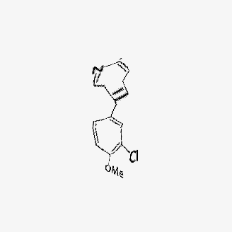 COc1ccc(-c2cc[c]nc2)cc1Cl